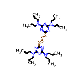 C=CCN(CC=C)c1nc(SSSSc2nc(N(CC=C)CC=C)nc(N(CC=C)CC=C)n2)nc(N(CC=C)CC=C)n1